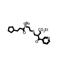 CCCCN(CCSCC(CC(=O)OCC)C(=O)c1cccnc1)C(=O)CCC1CCCC1